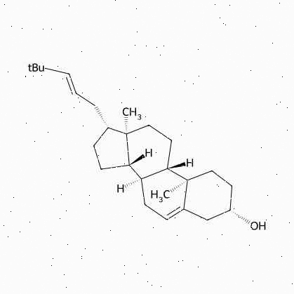 CC(C)(C)/C=C/C[C@H]1CC[C@H]2[C@@H]3CC=C4C[C@@H](O)CC[C@]4(C)[C@H]3CC[C@]12C